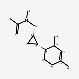 C=C(C)N(C)C[C@H]1C[C@H]1C1CCC(C)=CC1C